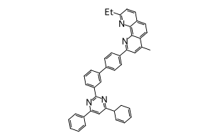 CCc1ccc2ccc3c(C)cc(-c4ccc(-c5cccc(-c6nc(-c7ccccc7)cc(C7C=CC=CC7)n6)c5)cc4)nc3c2n1